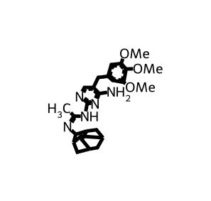 COc1cc(Cc2cnc(NC(C)=NC3C4CC5CC(C4)CC3C5)nc2N)cc(OC)c1OC